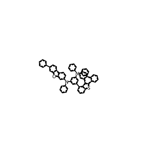 c1ccc(-c2ccc3c(c2)oc2cc(N(c4ccccc4)c4cc(-c5cccc6sc7c8ccccc8c8ccccc8c7c56)cc(N(c5ccccc5)c5ccccc5)c4)ccc23)cc1